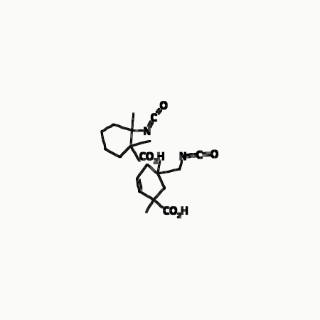 CC1(C(=O)O)C=CCC(CN=C=O)(C(=O)O)C1.CC1(C)CCCCC1(C)N=C=O